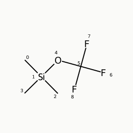 C[Si](C)(C)OC(F)(F)F